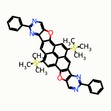 CS(C)(C)c1cc2c3oc4cnc(-c5ccccc5)nc4c3cc3c(S(C)(C)C)cc4c5oc6cnc(-c7ccccc7)nc6c5cc1c4c32